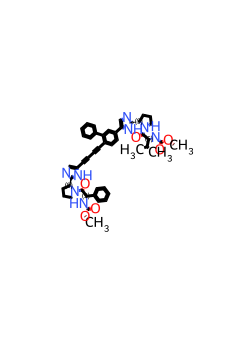 COC(=O)N[C@H](C(=O)N1CCC[C@H]1c1ncc(C#CC#Cc2ccc(-c3cnc([C@@H]4CCCN4C(=O)[C@@H](NC(=O)OC)C(C)C)[nH]3)cc2-c2ccccc2)[nH]1)c1ccccc1